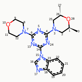 C[C@H]1CN(c2nc(N3CCOCC3)nc(-n3cnc4ccccc43)n2)C[C@H](C)O1